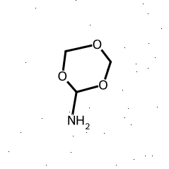 NC1OCOCO1